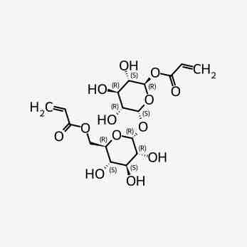 C=CC(=O)OC[C@H]1O[C@H](O[C@H]2O[C@H](OC(=O)C=C)[C@@H](O)[C@H](O)[C@H]2O)[C@H](O)[C@@H](O)[C@@H]1O